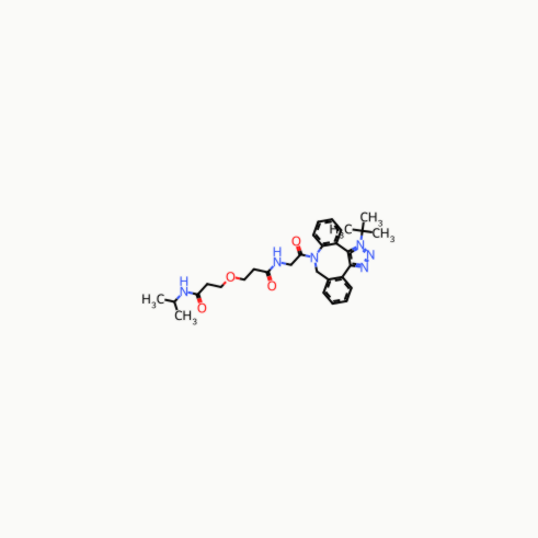 CC(C)NC(=O)CCOCCC(=O)NCC(=O)N1Cc2ccccc2-c2nnn(C(C)(C)C)c2-c2ccccc21